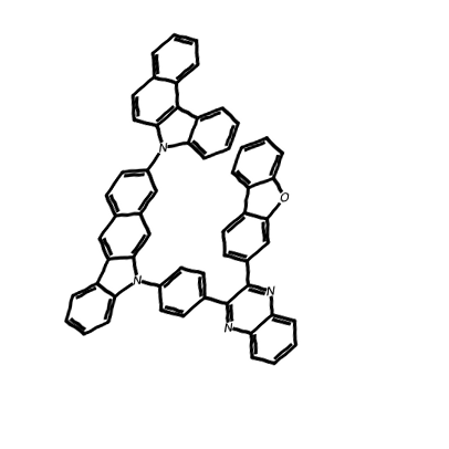 c1ccc2c(c1)ccc1c2c2ccccc2n1-c1ccc2cc3c4ccccc4n(-c4ccc(-c5nc6ccccc6nc5-c5ccc6c(c5)oc5ccccc56)cc4)c3cc2c1